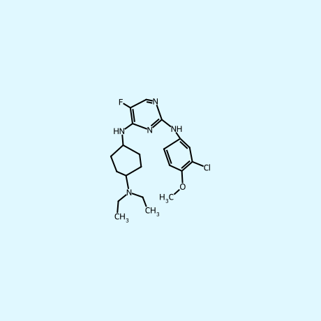 CCN(CC)C1CCC(Nc2nc(Nc3ccc(OC)c(Cl)c3)ncc2F)CC1